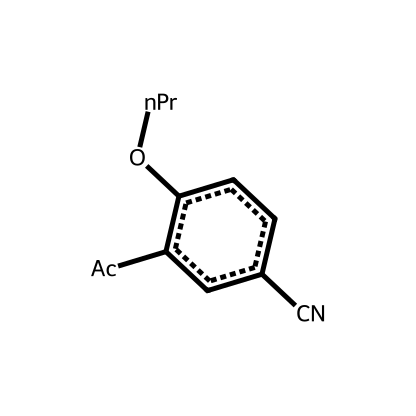 CCCOc1ccc(C#N)cc1C(C)=O